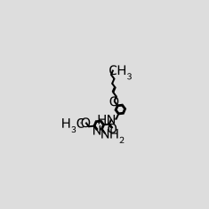 CCCCC=CCOc1cccc(CNC(=O)c2ccc(COC)nc2N)c1